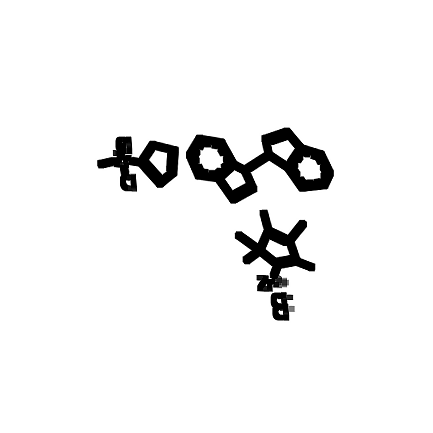 C1=CC(C2C=Cc3ccccc32)c2ccccc21.CC1=C(C)C(C)(C)[C]([Zr+2])=C1C.[CH3][Zr]([Cl])([Cl])[C]1=CC=CC1.[Cl-].[Cl-]